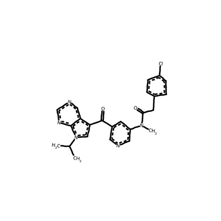 CC(C)n1cc(C(=O)c2cncc(N(C)C(=O)Cc3ccc(Cl)cc3)c2)c2cncnc21